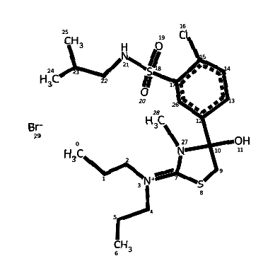 CCC[N+](CCC)=C1SCC(O)(c2ccc(Cl)c(S(=O)(=O)NCC(C)C)c2)N1C.[Br-]